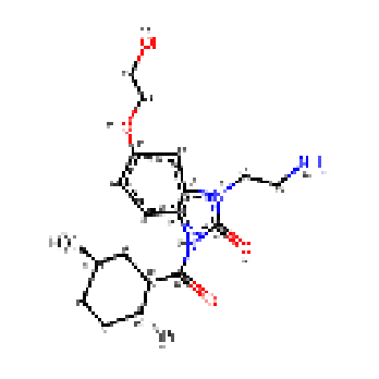 CC(C)[C@@H]1CC[C@@H](C)C[C@H]1C(=O)n1c(=O)n(CCN)c2cc(OCCO)ccc21